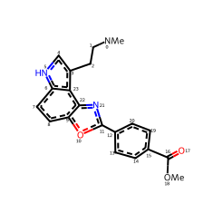 CNCCc1c[nH]c2ccc3oc(-c4ccc(C(=O)OC)cc4)nc3c12